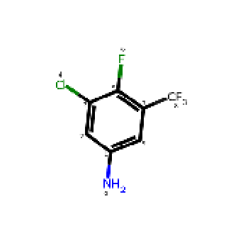 Nc1cc(Cl)c(F)c(C(F)(F)F)c1